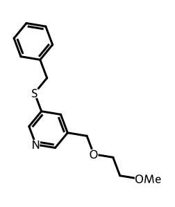 COCCOCc1cncc(SCc2ccccc2)c1